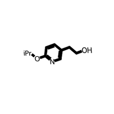 CC(C)Oc1ccc(CCO)cn1